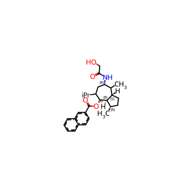 CC(C)C1C[C@@H](NC(=O)CO)C(C)[C@@H]2CC[C@@H](C)[C@H]2[C@@H]1OC(=O)c1ccc2ccccc2c1